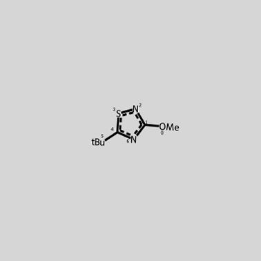 COc1nsc(C(C)(C)C)n1